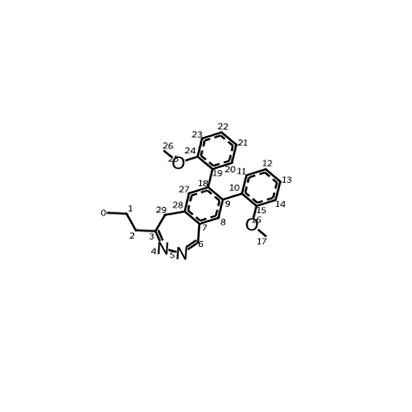 CCCC1=NN=Cc2cc(-c3ccccc3OC)c(-c3ccccc3OC)cc2C1